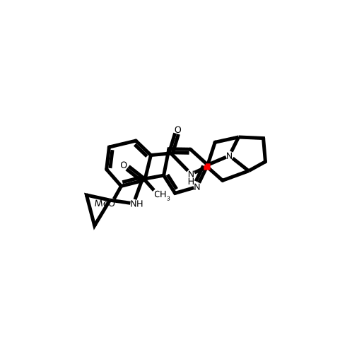 COc1cccc(C(=O)NC2CC3CCC(C2)N3c2ccc(C(=O)NC3CC3)cn2)c1C